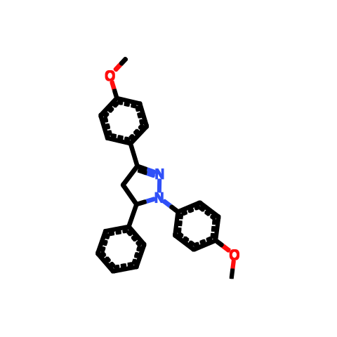 COc1ccc(C2=NN(c3ccc(OC)cc3)C(c3ccccc3)C2)cc1